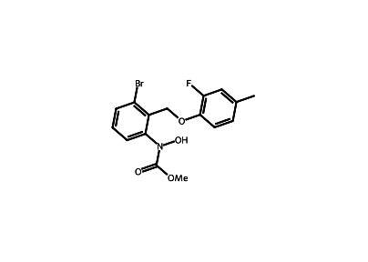 COC(=O)N(O)c1cccc(Br)c1COc1ccc(C)cc1F